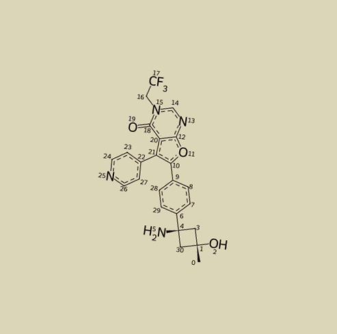 C[C@]1(O)C[C@@](N)(c2ccc(-c3oc4ncn(CC(F)(F)F)c(=O)c4c3-c3ccncc3)cc2)C1